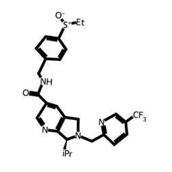 CC[S+]([O-])c1ccc(CNC(=O)c2cnc3c(c2)CN(Cc2ccc(C(F)(F)F)cn2)[C@H]3C(C)C)cc1